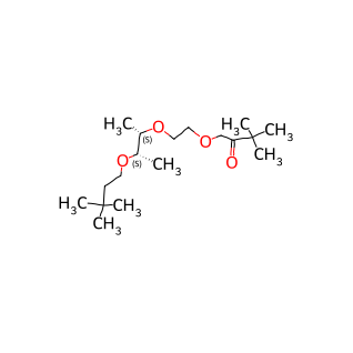 C[C@H](OCCOCC(=O)C(C)(C)C)[C@H](C)OCCC(C)(C)C